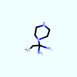 CCC(N)(N)N1CCNCC1